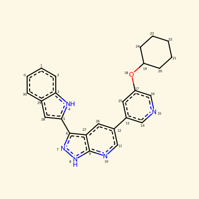 c1ccc2[nH]c(-c3n[nH]c4ncc(-c5cncc(OC6CCCCC6)c5)cc34)cc2c1